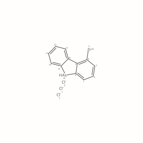 [Cl-].[Cl-].[Cl-].[Zr+3][c]1cccc2c1-c1ccccc1[AsH]2